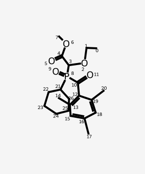 CCOC(C(=O)OC)P(=O)(C(=O)c1c(C)cc(C)cc1C)C1CCCCC1